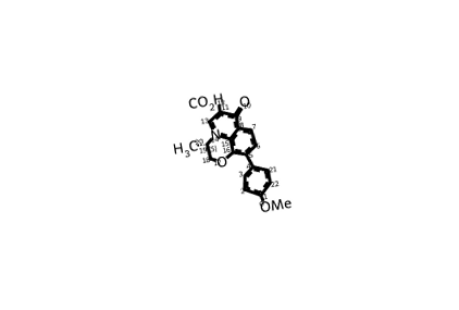 COc1ccc(-c2ccc3c(=O)c(C(=O)O)cn4c3c2OC[C@@H]4C)cc1